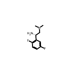 CN(C)C[C@@H](N)c1cc(F)ccc1F